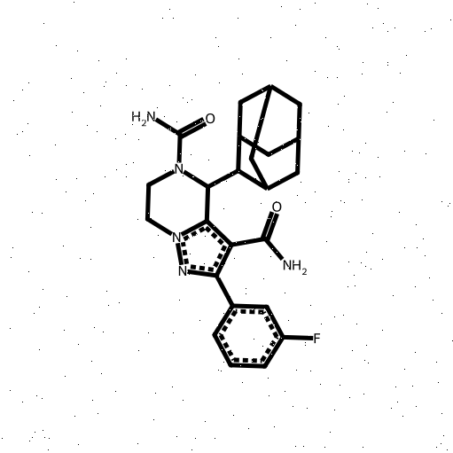 NC(=O)c1c(-c2cccc(F)c2)nn2c1C(C1C3CC4CC(C3)CC1C4)N(C(N)=O)CC2